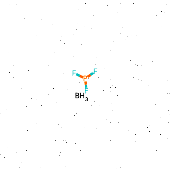 B.FP(F)F